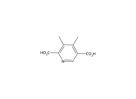 Cc1c(C(=O)O)cnc(C(=O)O)c1C